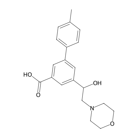 Cc1ccc(-c2cc(C(=O)O)cc(C(O)CN3CCOCC3)c2)cc1